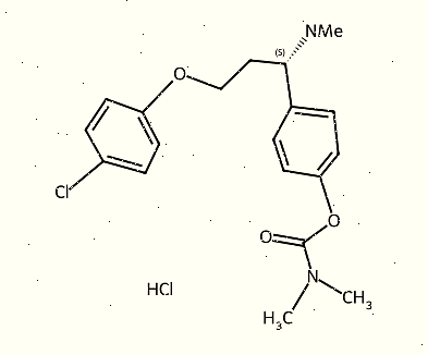 CN[C@@H](CCOc1ccc(Cl)cc1)c1ccc(OC(=O)N(C)C)cc1.Cl